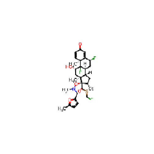 CC[C@@H]1C[C@H]2[C@@H]3C[C@H](F)C4=CC(=O)C=C[C@]4(C)[C@@]3(F)[C@@H](O)C[C@]2(C)[C@@]1(ON(C)Cc1ccc(C)o1)C(=O)SCF